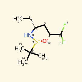 CC[C@H](CCC(F)F)N[S@@+]([O-])C(C)(C)C